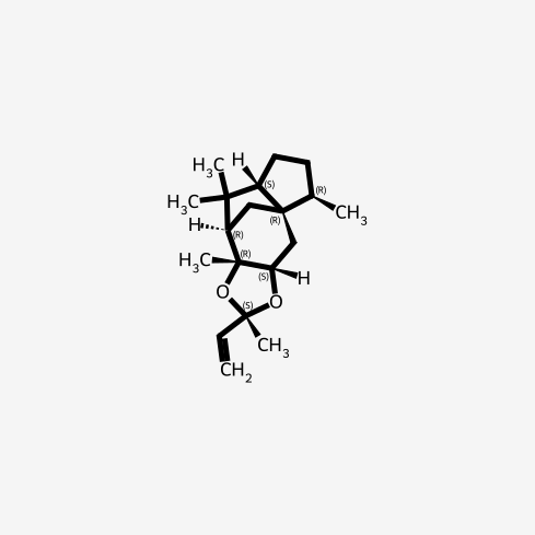 C=C[C@@]1(C)O[C@H]2C[C@@]34C[C@H](C(C)(C)[C@@H]3CC[C@H]4C)[C@@]2(C)O1